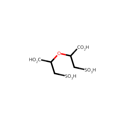 O=C(O)C(CS(=O)(=O)O)OC(CS(=O)(=O)O)C(=O)O